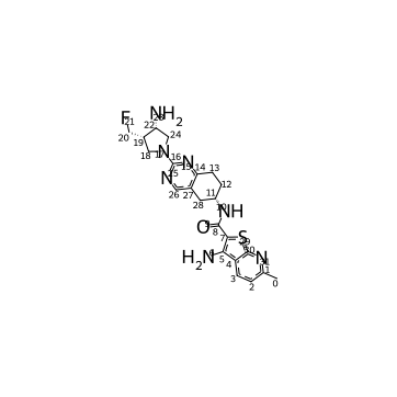 Cc1ccc2c(N)c(C(=O)N[C@H]3CCc4nc(N5C[C@H](CF)[C@H](N)C5)ncc4C3)sc2n1